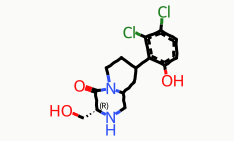 O=C1[C@@H](CO)NCC2CC(c3c(O)ccc(Cl)c3Cl)CCN12